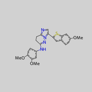 COc1ccc2cc(-c3cnc4n3N=C(Nc3ccc(OC)c(OC)c3)CC4)sc2c1